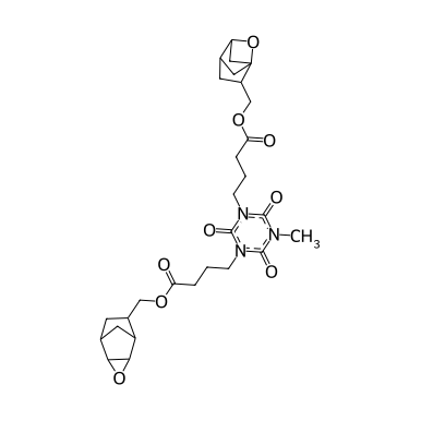 Cn1c(=O)n(CCCC(=O)OCC2CC3CC2C2OC32)c(=O)n(CCCC(=O)OCC2CC3CC24CC3O4)c1=O